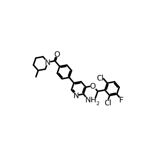 CC1CCCN(C(=O)c2ccc(-c3cnc(N)c(OC(C)c4c(Cl)ccc(F)c4Cl)c3)cc2)C1